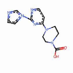 O=C(O)N1CCN(c2ccnc(-n3ccnc3)n2)CC1